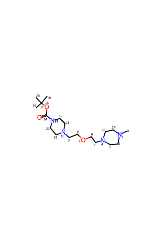 CN1CCN(CCOCCN2CCN(C(=O)OC(C)(C)C)CC2)CC1